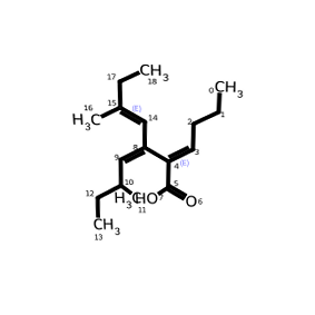 CCC/C=C(/C(=O)O)C(=CC(C)CC)/C=C(\C)CC